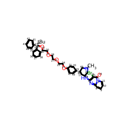 CN1C[C@H](Nc2nc3ccccn3c(=O)c2Br)C[C@H](c2ccc(OCCOCCOCCO[Si](c3ccccc3)(c3ccccc3)C(C)(C)C)cc2)C1